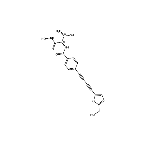 C[C@@H](O)[C@@H](NC(=O)c1ccc(C#CC#Cc2ccc(CO)o2)cc1)C(=O)NO